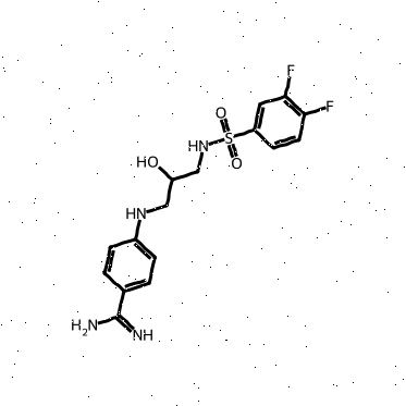 N=C(N)c1ccc(NCC(O)CNS(=O)(=O)c2ccc(F)c(F)c2)cc1